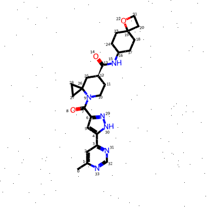 Cc1cc(-c2cc(C(=O)N3CC[C@H](C(=O)NC4CCC5(CCO5)CC4)CC34CC4)n[nH]2)ncn1